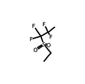 CCS(=O)(=O)C(F)(F)C(C)(F)F